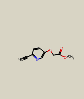 C#Cc1ccc(OCC(=O)OC)cn1